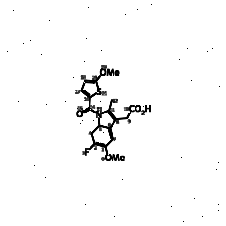 COC1=C(F)CC2C(=C1)C(CC(=O)O)=C(C)N2C(=O)c1ccc(OC)s1